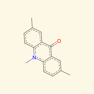 Cc1ccc2c(c1)c(=O)c1cc(C)ccc1n2C